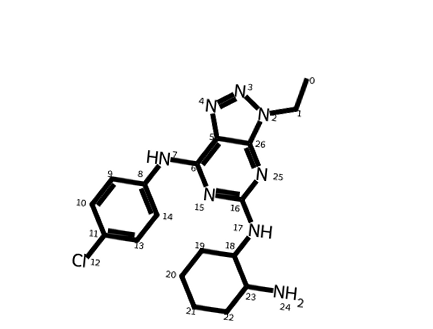 CCn1nnc2c(Nc3ccc(Cl)cc3)nc(NC3CCCCC3N)nc21